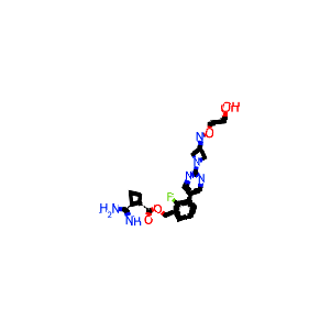 N=C(N)[C@@H]1CC[C@@H]1C(=O)OCc1cccc(-c2cnc(N3CC(=NOCCO)C3)nc2)c1F